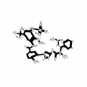 COc1c(NC(=O)c2ccc(C)c(-n3cc(OC(=O)N(C)[C@H](CN(C)C)c4ccccc4)nn3)c2)cc(C(C)(C)C)cc1NS(C)(=O)=O